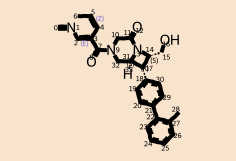 C=N/C=C(\C=C/C)C(=O)N1CC(=O)N2[C@H](CO)[C@H](c3ccc(-c4ccccc4C)cc3)[C@H]2C1